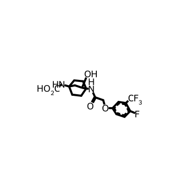 O=C(O)NC12CCC(NC(=O)COc3ccc(F)c(C(F)(F)F)c3)(CC1)C(O)C2